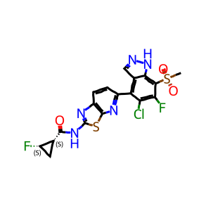 CS(=O)(=O)c1c(F)c(Cl)c(-c2ccc3nc(NC(=O)[C@@H]4C[C@@H]4F)sc3n2)c2cn[nH]c12